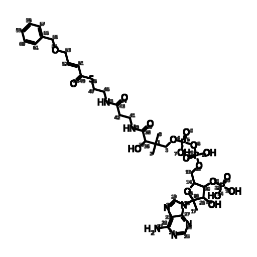 CC(C)(COP(=O)(O)OP(=O)(O)OCC1OC(C)(n2cnc3c(N)ncnc32)C(O)C1OP(=O)(O)O)C(O)C(=O)NCCC(=O)NCCSC(=O)C=CCOCc1ccccc1